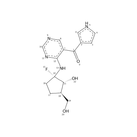 O=C(c1cc[nH]c1)c1cncnc1N[C@]1(F)CC[C@H](CO)[C@H]1O